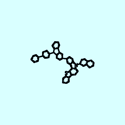 c1ccc(-c2ccc(C3c4ccccc4-c4cc(-c5ccc6c(c5)c5c7sc8ccccc8c7ccc5n6-c5ccc6ccccc6c5)ccc43)cc2)cc1